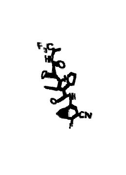 Cc1c(C(=O)Nc2ccc(F)c(C#N)c2)c2n(c1C(=O)C(=O)NC(C)C(F)(F)F)CCC2